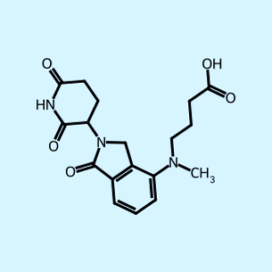 CN(CCCC(=O)O)c1cccc2c1CN(C1CCC(=O)NC1=O)C2=O